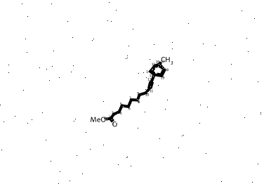 COC(=O)CCCCCCCCC#Cc1ccc(C)cc1